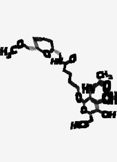 COC[C@@H]1CCC[C@H](CNC(=O)CCCCOC2O[C@H](CO)C(O)C(O)C2NC(C)=O)O1